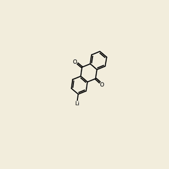 [Li][c]1ccc2c(c1)C(=O)c1ccccc1C2=O